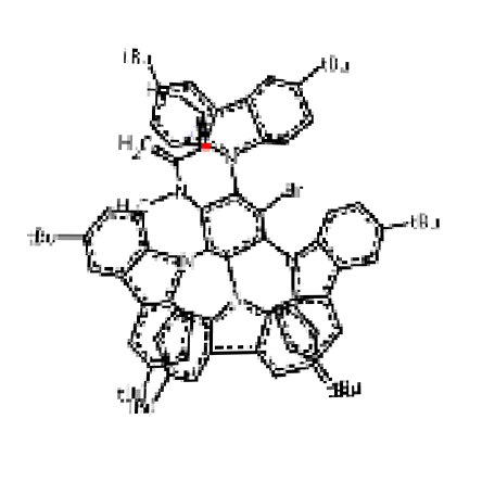 C=C(/C=C\C)N(C)c1c(-n2c3ccc(C(C)(C)C)cc3c3cc(C(C)(C)C)ccc32)c(Br)c(-n2c3ccc(C(C)(C)C)cc3c3cc(C(C)(C)C)ccc32)c(-n2c3ccc(C(C)(C)C)cc3c3cc(C(C)(C)C)ccc32)c1-n1c2ccc(C(C)(C)C)cc2c2cc(C(C)(C)C)ccc21